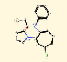 CCC(=O)N(c1ccccc1)C1CCCC(Cl)CC1N1CCCC1